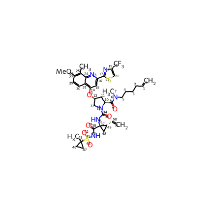 C=CCCCCN(C)C(=O)[C@@H]1C[C@H](Oc2cc(-c3nc(C(F)(F)F)cs3)nc3c(C)c(OC)ccc23)CN1C(=O)N[C@]1(C(=O)NS(=O)(=O)C2(C)CC2)C[C@H]1C=C